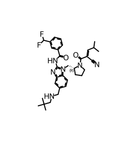 CC(C)C=C(C#N)C(=O)N1CCC[C@@H]1Cn1c(NC(=O)c2cccc(C(F)F)c2)nc2cc(CNCC(C)(C)C)ccc21